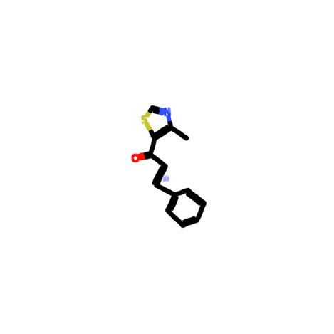 Cc1ncsc1C(=O)/C=C/c1ccccc1